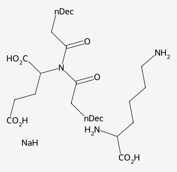 CCCCCCCCCCCC(=O)N(C(=O)CCCCCCCCCCC)C(CCC(=O)O)C(=O)O.NCCCCC(N)C(=O)O.[NaH]